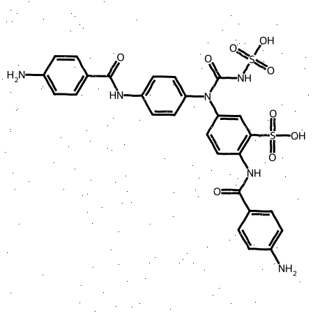 Nc1ccc(C(=O)Nc2ccc(N(C(=O)NS(=O)(=O)O)c3ccc(NC(=O)c4ccc(N)cc4)c(S(=O)(=O)O)c3)cc2)cc1